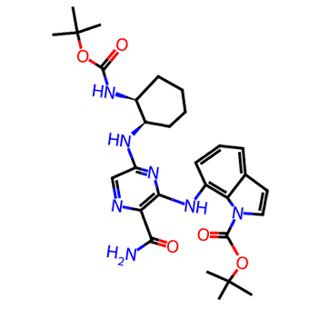 CC(C)(C)OC(=O)N[C@H]1CCCC[C@H]1Nc1cnc(C(N)=O)c(Nc2cccc3ccn(C(=O)OC(C)(C)C)c23)n1